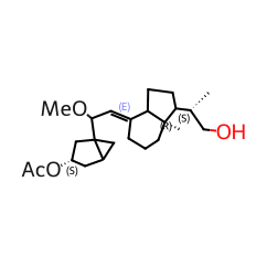 COC(/C=C1\CCC[C@@]2(C)C1CCC2[C@H](C)CO)C12CC1C[C@H](OC(C)=O)C2